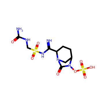 N=C(NS(=O)(=O)CNC(N)=O)C1CCC2CN1C(=O)N2OS(=O)(=O)O